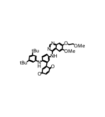 COCCOc1cc2ncnc(Nc3ccc(Nc4cc(C(C)(C)C)cc(C(C)(C)C)c4)c(C4=CC(=O)C=CC4=O)c3)c2cc1OC